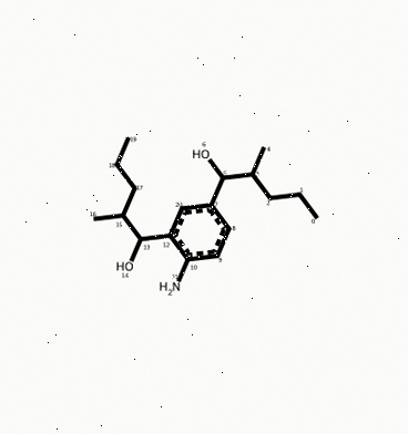 CCCC(C)C(O)c1ccc(N)c(C(O)C(C)CCC)c1